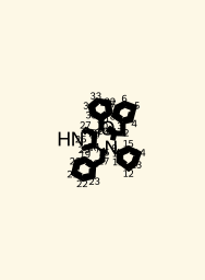 O=C(Cc1ccccc1)N(c1ccccc1)C(Cc1ccccc1)[C@H]1CNC[C@@H]1Cc1ccccc1